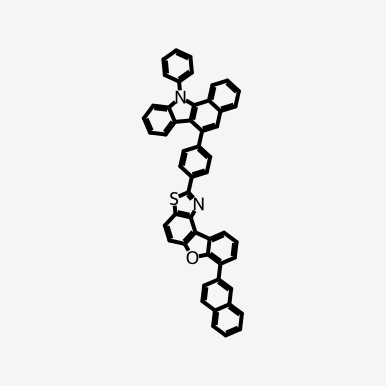 c1ccc(-n2c3ccccc3c3c(-c4ccc(-c5nc6c(ccc7oc8c(-c9ccc%10ccccc%10c9)cccc8c76)s5)cc4)cc4ccccc4c32)cc1